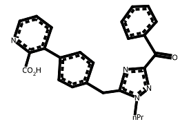 CCCn1nc(C(=O)c2ccccc2)nc1Cc1ccc(-c2cccnc2C(=O)O)cc1